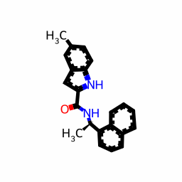 Cc1ccc2[nH]c(C(=O)N[C@H](C)c3cccc4ccccc34)cc2c1